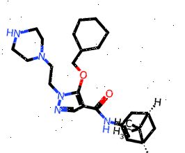 CC1(C)[C@H]2CC(NC(=O)c3cnn(CCN4CCNCC4)c3OCC3CCCCC3)=C[C@@H]1C2